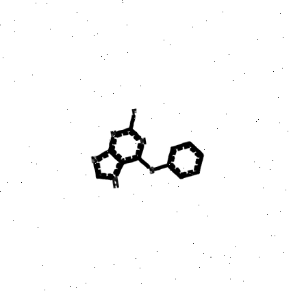 Fc1nc(Sc2ccccc2)c2[nH]cnc2n1